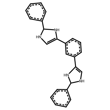 C1=C(c2cccc(C3=CNC(c4ccccc4)N3)c2)NC(c2ccccc2)N1